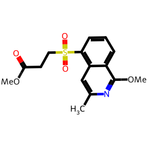 COC(=O)CCS(=O)(=O)c1cccc2c(OC)nc(C)cc12